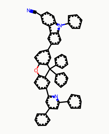 N#Cc1ccc2c(c1)c1cc(-c3ccc4c(c3)C(c3ccccc3)(c3ccccc3)c3cc(-c5cc(-c6ccccc6)cc(-c6ccccc6)n5)ccc3O4)ccc1n2-c1ccccc1